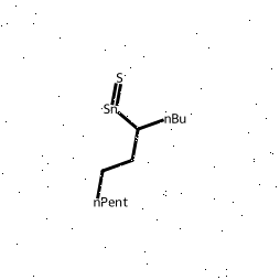 CCCCCCC[CH](CCCC)[Sn]=[S]